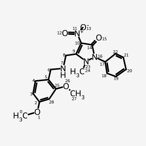 COc1ccc(CNCc2c([N+](=O)[O-])c(=O)n(-c3ccccc3)n2C)c(OC)c1